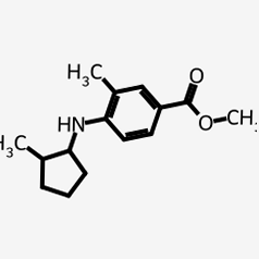 COC(=O)c1ccc(NC2CCCC2C)c(C)c1